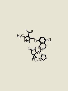 C[C@H]1CCC[C@H]1C(=O)N1CCc2c(Cl)ccc(OCc3nnn(C)c3C(F)F)c2[C@H]1CN1CC2(CC2)CC1=O